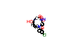 O=C1NS(=O)(=O)CC/C=C\[C@@H](O)C[C@@H]2CC[C@H]2CN2C[C@@]3(CCCc4cc(Cl)ccc43)COc3ccc1cc32